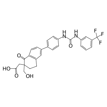 O=C(O)CC1(CO)CCc2cc(-c3ccc(NC(=O)Nc4cccc(C(F)(F)F)c4)cc3)ccc2C1=O